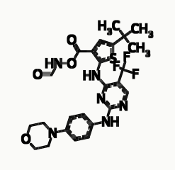 CC(C)(C)c1cc(C(=O)ONC=O)c(Nc2nc(Nc3ccc(N4CCOCC4)cc3)ncc2C(F)(F)F)s1